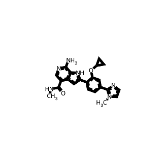 CNC(=O)c1cnc(N)c2[nH]c(-c3ccc(-c4nccn4C)cc3OC3CC3)cc12